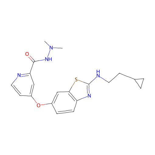 CN(C)NC(=O)c1cc(Oc2ccc3nc(NCCC4CC4)sc3c2)ccn1